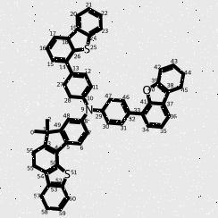 CC1(C)C2=C(c3ccc(N(C4=CC=C(C5=CC=CC6c7ccccc7SC56)CC4)C4C=CC(c5cccc6c7c(oc56)C=CCC7)=CC4)cc31)c1sc3c(c1CC2)CCC=C3